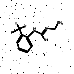 CCN=C(S)Nc1ccccc1C(F)(F)F